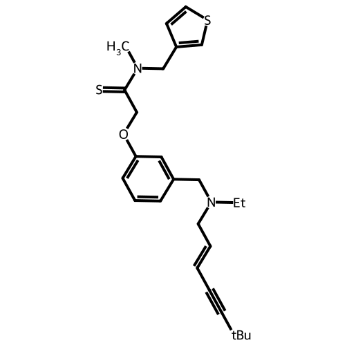 CCN(CC=CC#CC(C)(C)C)Cc1cccc(OCC(=S)N(C)Cc2ccsc2)c1